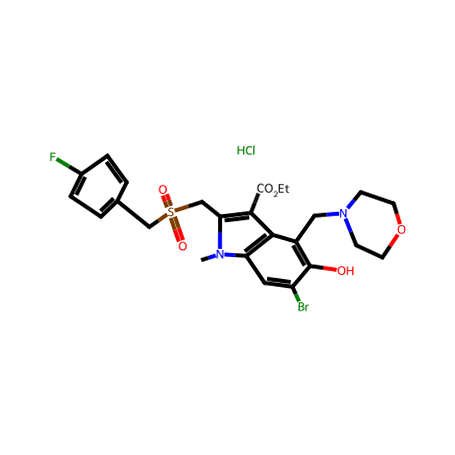 CCOC(=O)c1c(CS(=O)(=O)Cc2ccc(F)cc2)n(C)c2cc(Br)c(O)c(CN3CCOCC3)c12.Cl